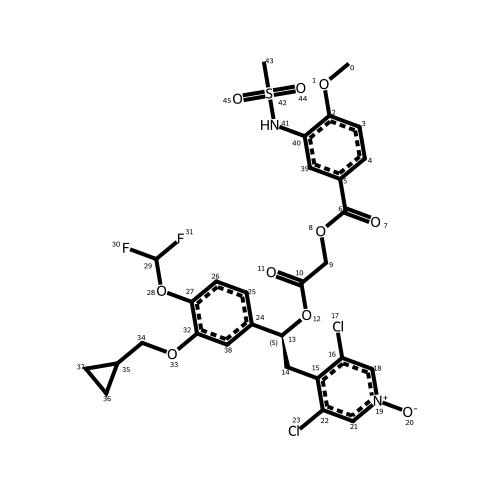 COc1ccc(C(=O)OCC(=O)O[C@@H](Cc2c(Cl)c[n+]([O-])cc2Cl)c2ccc(OC(F)F)c(OCC3CC3)c2)cc1NS(C)(=O)=O